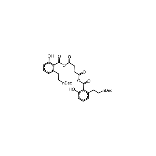 CCCCCCCCCCCCc1cccc(O)c1C(=O)OC(=O)CCC(=O)OC(=O)c1c(O)cccc1CCCCCCCCCCCC